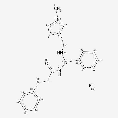 C[n+]1ccn(CNN(NC(=O)CSc2ccccc2)c2ccccc2)c1.[Br-]